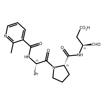 Cc1ncccc1C(=O)N[C@H](C(=O)N1CCC[C@H]1C(=O)N[C@H](C=O)CC(=O)O)C(C)C